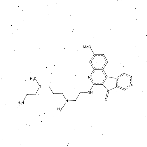 COc1ccc2c3c(c(NCCN(C)CCCN(C)CCN)nc2c1)C(=O)c1cnccc1-3